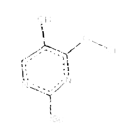 CCOc1nc(C(C)(C)C)ncc1C#N